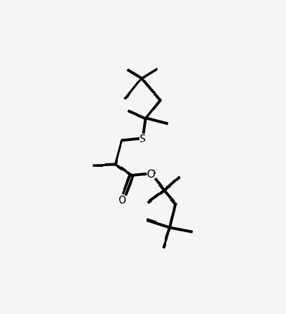 CC(CSC(C)(C)CC(C)(C)C)C(=O)OC(C)(C)CC(C)(C)C